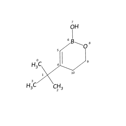 CC(C)(C)C1=CB(O)OCC1